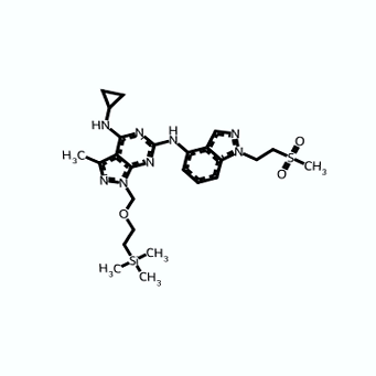 Cc1nn(COCC[Si](C)(C)C)c2nc(Nc3cccc4c3cnn4CCS(C)(=O)=O)nc(NC3CC3)c12